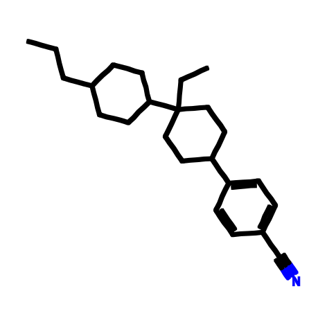 CCCC1CCC(C2(CC)CCC(c3ccc(C#N)cc3)CC2)CC1